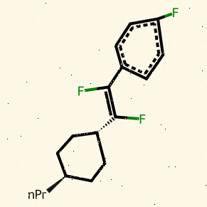 CCC[C@H]1CC[C@H](/C(F)=C(\F)c2ccc(F)cc2)CC1